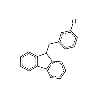 Clc1cccc(CC2c3ccccc3-c3ccccc32)c1